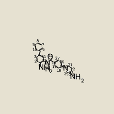 Nc1ccc(-c2ccccc2)cc1NC(=O)c1ccc(N2CCC(N)C2)cc1